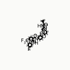 O=C(Nc1ccc(Oc2ccc3nc(NC(=O)C4CC4)cn3c2)c(F)c1)c1ccc(C(F)(F)F)n(-c2ccc(F)cc2)c1=O